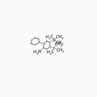 CC(C)(C)c1cc(N)c(-c2ccccc2)cc1[Si](C)(C)C